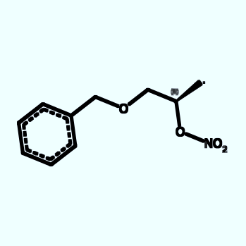 [CH2][C@H](COCc1ccccc1)O[N+](=O)[O-]